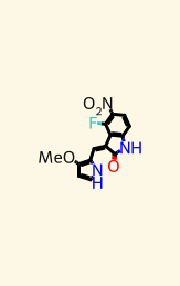 COc1cc[nH]c1C=C1C(=O)Nc2ccc([N+](=O)[O-])c(F)c21